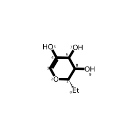 CC[C@@H]1OC=C(O)C(O)C1O